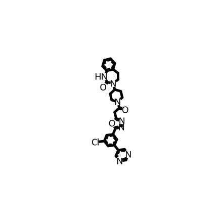 O=C(Cc1nnc(-c2cc(Cl)cc(-c3cncnc3)c2)o1)N1CCC(N2CCc3ccccc3NC2=O)CC1